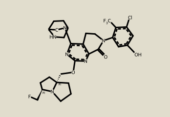 O=C1c2nc(OC[C@]34CCCN3[C@@H](CF)CC4)nc(N3CC4CCC3CN4)c2CCN1c1cc(O)cc(Cl)c1C(F)(F)F